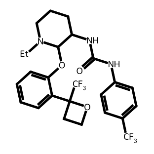 CCN1CCCC(NC(=O)Nc2ccc(C(F)(F)F)cc2)C1Oc1ccccc1C1(C(F)(F)F)CCO1